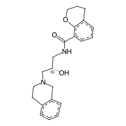 O=C(NC[C@H](O)CN1CCc2ccccc2C1)c1cccc2c1OCCC2